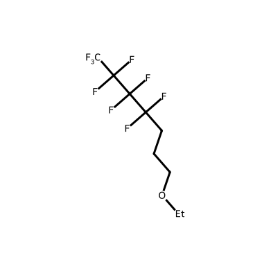 CCOCCCC(F)(F)C(F)(F)C(F)(F)C(F)(F)F